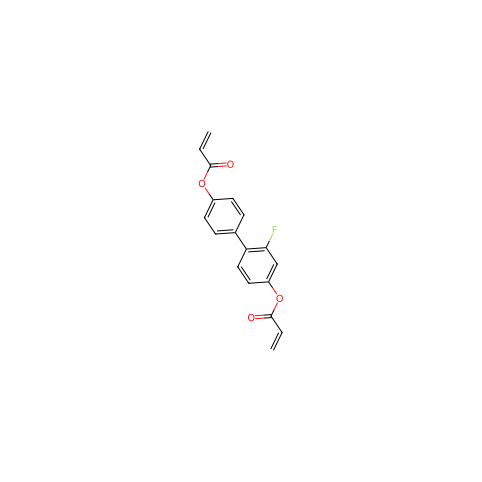 C=CC(=O)Oc1ccc(-c2ccc(OC(=O)C=C)cc2F)cc1